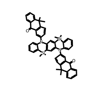 CC1(C)c2ccccc2C(=O)c2cc(N3c4ccccc4[Si](C)(C)c4cc5c(cc43)[Si](C)(C)c3ccccc3N5c3ccc4c(c3)C(=O)c3ccccc3C4(C)C)ccc21